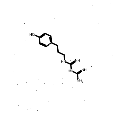 N=C(N)NC(=N)NCCCc1ccc(O)cc1